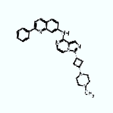 CN1CCN([C@H]2C[C@@H](c3ncc4c(Nc5ccc6ccc(-c7ccccc7)nc6c5)nccn43)C2)CC1